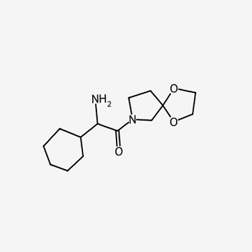 NC(C(=O)N1CCC2(C1)OCCO2)C1CCCCC1